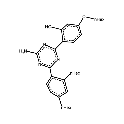 CCCCCCOc1ccc(-c2nc(N)nc(-c3ccc(CCCCCC)cc3CCCCCC)n2)c(O)c1